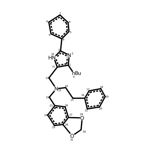 CCCCc1nc(-c2ccccc2)[nH]c1CN(CCc1ccccc1)Cc1ccc2c(c1)OCO2